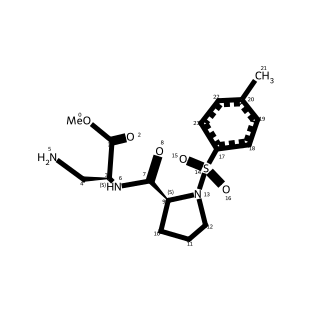 COC(=O)[C@H](CN)NC(=O)[C@@H]1CCCN1S(=O)(=O)c1ccc(C)cc1